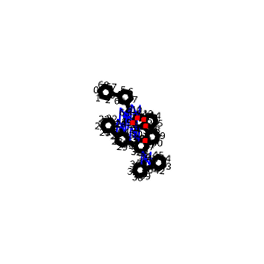 c1ccc(-c2cccc(-c3nc(-c4ccccc4)nc(-n4c5ccccc5c5ccc6c7cc(-n8c9ccccc9c9ccccc98)ccc7n(-c7ccccc7-c7ccccc7)c6c54)n3)c2)cc1